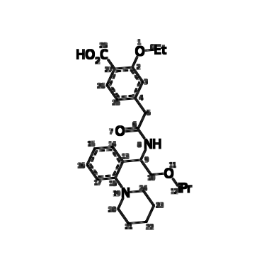 CCOc1cc(CC(=O)NC(COC(C)C)c2ccccc2N2CCCCC2)ccc1C(=O)O